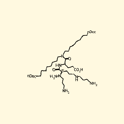 CCCCCCCCCCCCCCCCCCN(CCCCCCCCCCCCCCCCCC)C(=O)C(CCC(=O)O)NC(=O)[C@@H](CCCNCCCN)N(N)CCCN